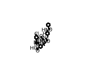 CC(C)(CNC(=O)[C@H](Cc1ccc(NC(=O)c2ccccc2)cc1)NC(=O)C(=O)Nc1cc(Cl)ccc1-n1cnnn1)c1ccc(C(=O)O)cc1